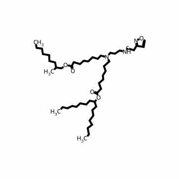 CCCCCCCCC(CCCCCCCC)OC(=O)CCCCCCCN(CCCCCCCC(=O)OCC(C)CCCCCCC)CCCNSCc1ccon1